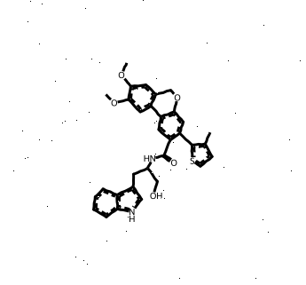 COc1cc2c(cc1OC)-c1cc(C(=O)NC(CO)Cc3c[nH]c4ccccc34)c(-c3sccc3C)cc1OC2